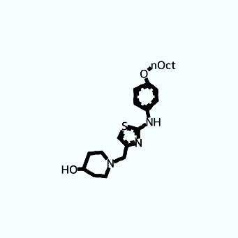 CCCCCCCCOc1ccc(Nc2nc(CN3CCC(O)CC3)cs2)cc1